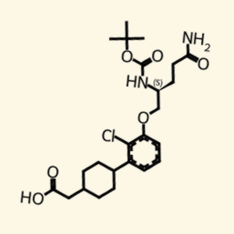 CC(C)(C)OC(=O)N[C@@H](CCC(N)=O)COc1cccc(C2CCC(CC(=O)O)CC2)c1Cl